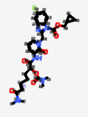 CN(C)C(=O)/C=C/CC[C@H](OC(=O)N(C)C)C(=O)Nc1cccn(Cc2nc3cc(F)ccc3n2C(=O)OCC2CC2)c1=O